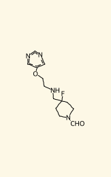 O=CN1CCC(F)(CNCCOc2cncnc2)CC1